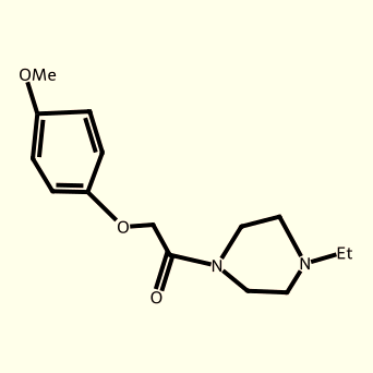 CCN1CCN(C(=O)COc2ccc(OC)cc2)CC1